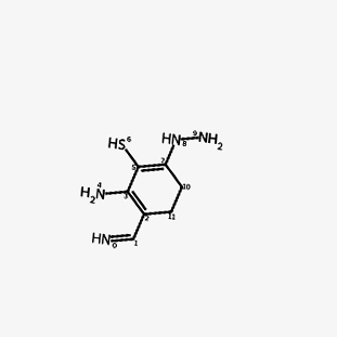 N=CC1=C(N)C(S)=C(NN)CC1